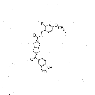 O=C(CCc1ccc(OC(F)(F)F)cc1F)N1CC2CN(C(=O)c3ccc4[nH]nnc4c3)CC2C1